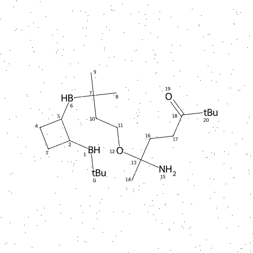 CC(C)(C)BC1CCC1BC(C)(C)CCOC(C)(N)CCC(=O)C(C)(C)C